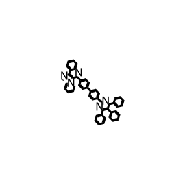 C=Nc1c(N2C=CC=CC2)c(-c2ccc(-c3ccc(-c4nc(-c5ccccc5)c(-c5ccccc5)c(-c5ccccc5)n4)cc3)cc2)nc2ccccc12